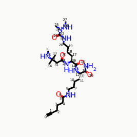 C#CCCCC(=O)NCCCC[C@H](NC(=O)[C@H](CCCCNC(=O)N(C)NC)NC(=O)CC(C)(C)NC)C(N)=O